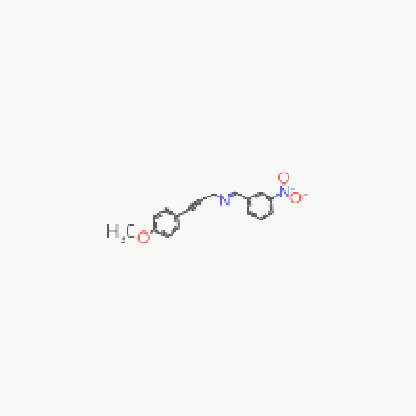 COc1ccc(C#CCN=Cc2cccc([N+](=O)[O-])c2)cc1